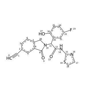 C#Cc1ccc2c(c1)C(=O)N(C(C(=O)Nc1nccs1)c1cc(F)ccc1O)C2